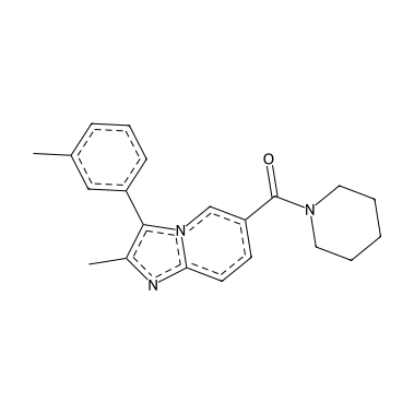 Cc1cccc(-c2c(C)nc3ccc(C(=O)N4CCCCC4)cn23)c1